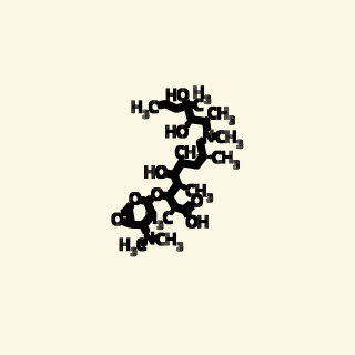 CCCC(C)(O)[C@H](O)[C@@H](C)N(C)C[C@H](C)C[C@H](C)C(O)[C@@H](C)C(OC1CC(N(C)C)C2OC2O1)[C@@H](C)C(=O)O